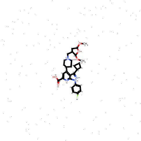 COC1CC(CN2CCC(c3cc(C(=O)O)nc4c3c(C3CCC3)nn4-c3ccc(F)cc3)CC2)C(OC)O1